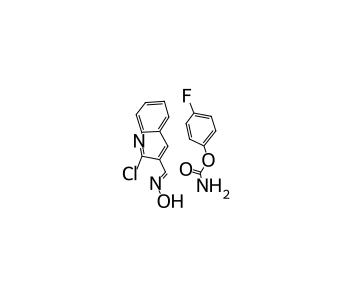 NC(=O)Oc1ccc(F)cc1.ON=Cc1cc2ccccc2nc1Cl